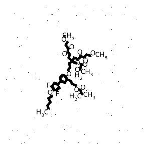 C=C(C)C(=O)OCCCc1cc(-c2cc(F)c(OCCCCCC)c(F)c2)ccc1OCCCC(CCC(=O)C(=O)CCOC)(CCC(=O)C(=O)CCOC)COC(=O)C(=C)C